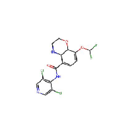 O=C(Nc1c(Cl)cncc1Cl)C1=CC=C(OC(F)F)C2OCCNC12